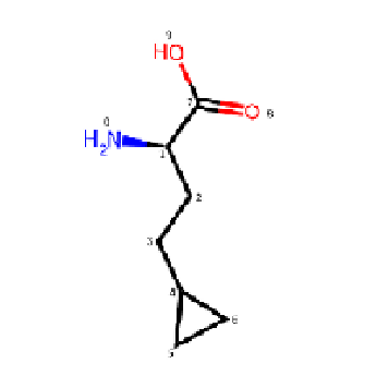 N[C@H](CCC1CC1)C(=O)O